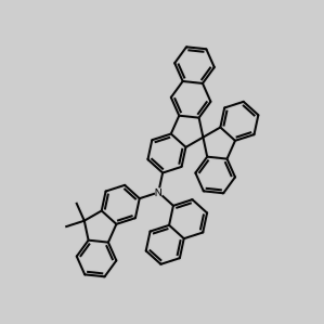 CC1(C)c2ccccc2-c2cc(N(c3ccc4c(c3)C3(c5ccccc5-c5ccccc53)c3cc5ccccc5cc3-4)c3cccc4ccccc34)ccc21